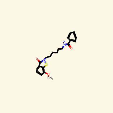 COc1cccc2c(=O)n(CCCCCCNC(=O)c3ccccc3)sc12